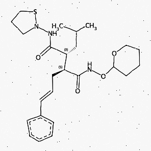 CC(C)C[C@@H](C(=O)NN1CCCS1)[C@H](CC=Cc1ccccc1)C(=O)NOC1CCCCO1